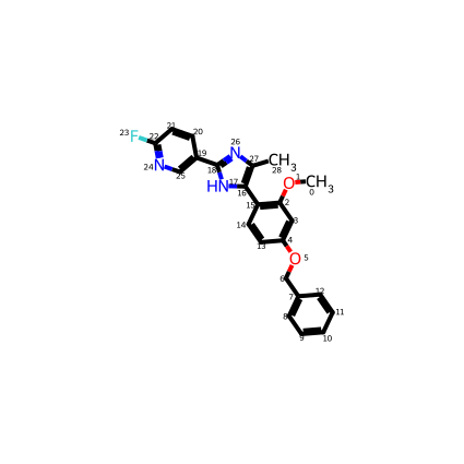 COc1cc(OCc2ccccc2)ccc1-c1[nH]c(-c2ccc(F)nc2)nc1C